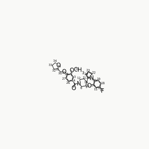 COc1cc(C(=O)N2CCC3(CC2)Oc2cc(F)ccc2-n2cccc23)ccc1OCC1CCCO1